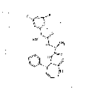 C[C@H](NC(=O)[C@H](O)c1cc(F)cc(F)c1)C(=O)N[C@@H]1C(=O)NCC=C[C@@H]1c1ccccc1